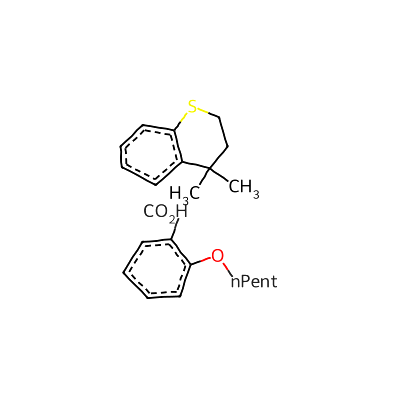 CC1(C)CCSc2ccccc21.CCCCCOc1ccccc1C(=O)O